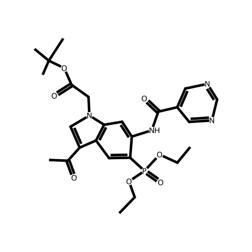 CCOP(=O)(OCC)c1cc2c(C(C)=O)cn(CC(=O)OC(C)(C)C)c2cc1NC(=O)c1cncnc1